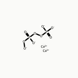 O=P([O-])([O-])OOP(=O)([O-])O[O-].[Ca+2].[Ca+2]